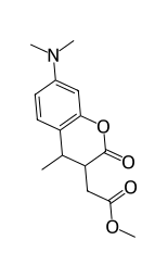 COC(=O)CC1C(=O)Oc2cc(N(C)C)ccc2C1C